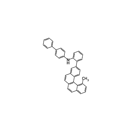 Cc1cccc2ccc3ccc4cc(-c5ccccc5Nc5ccc(-c6ccccc6)cc5)ccc4c3c12